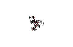 CC(C)(C)c1cc(NC(=O)Nc2ccc(C3=NCCCN3)cc2)cc(NC(=O)Nc2ccc(C3=NCCCN3)cc2)c1